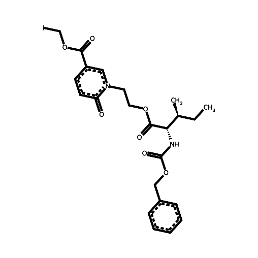 CC[C@H](C)[C@H](NC(=O)OCc1ccccc1)C(=O)OCCn1cc(C(=O)OCI)ccc1=O